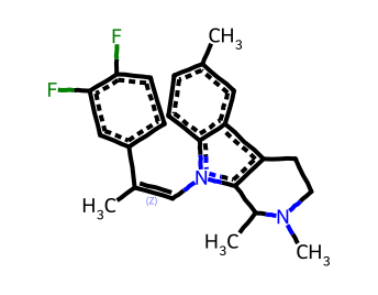 C/C(=C/n1c2c(c3cc(C)ccc31)CCN(C)C2C)c1ccc(F)c(F)c1